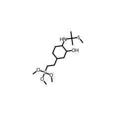 CO[Si](CCC1CCC(NC(C)(C)SC)C(O)C1)(OC)OC